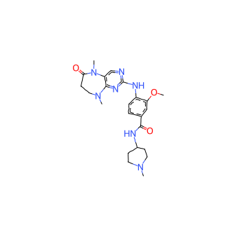 COc1cc(C(=O)NC2CCN(C)CC2)ccc1Nc1ncc2c(n1)N(C)CCC(=O)N2C